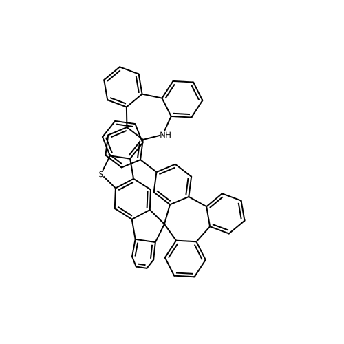 c1ccc2c(c1)Nc1c(-c3ccc4c(c3)C3(c5ccccc5-c5ccccc5-4)c4ccccc4-c4cc5sc6ccccc6c5cc43)cccc1-c1ccccc1-2